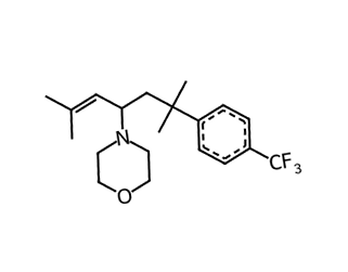 CC(C)=CC(CC(C)(C)c1ccc(C(F)(F)F)cc1)N1CCOCC1